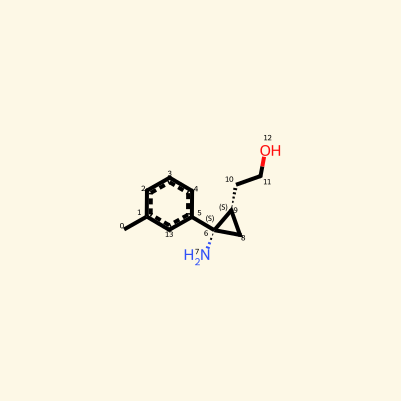 Cc1cccc([C@]2(N)C[C@H]2CCO)c1